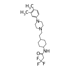 Cc1ccc(N2CCN(CCC3CCC(NC(=O)CC(F)(F)F)CC3)CC2)cc1C